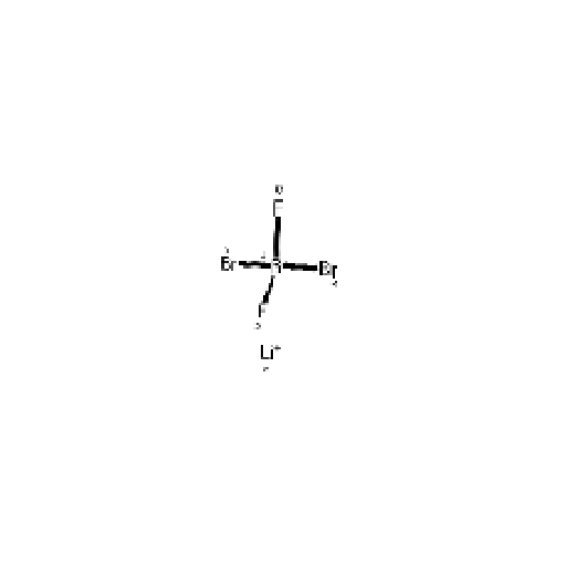 F[B-](F)(Br)Br.[Li+]